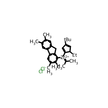 CCC1C=C(C(C)(C)C)C=[C]1[Zr+2](=[C](C)C)[c]1c(C)c(C)cc2c1Cc1cc(C)c(C)cc1-2.[Cl-].[Cl-]